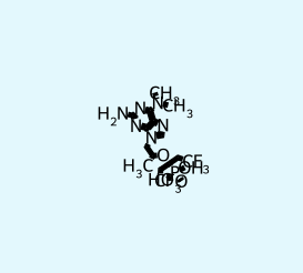 CC(Cn1cnc2c(N(C)C)nc(N)nc21)OC(CC(F)(F)F)(CC(F)(F)F)P(=O)(O)O